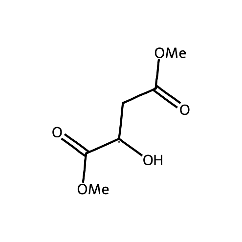 COC(=O)C[C](O)C(=O)OC